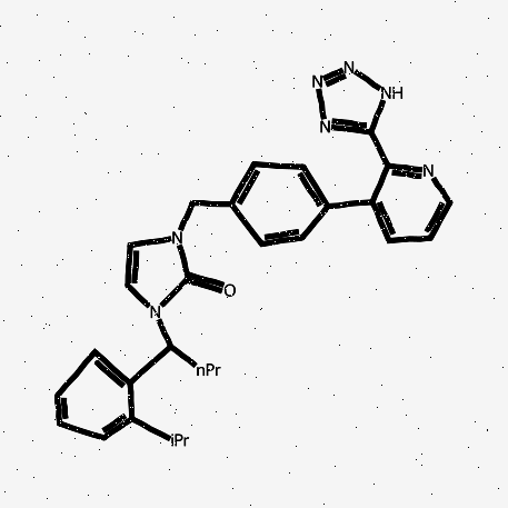 CCCC(c1ccccc1C(C)C)n1ccn(Cc2ccc(-c3cccnc3-c3nnn[nH]3)cc2)c1=O